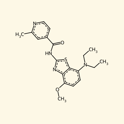 CCN(CC)c1ccc(OC)c2nc(NC(=O)c3ccnc(C)c3)sc12